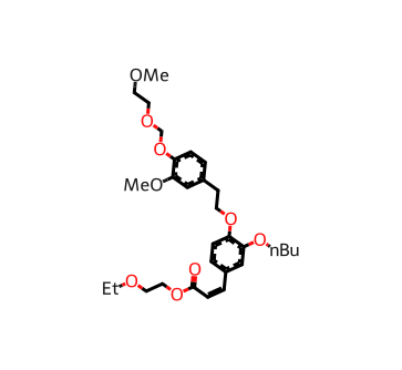 CCCCOc1cc(/C=C\C(=O)OCCOCC)ccc1OCCc1ccc(OCOCCOC)c(OC)c1